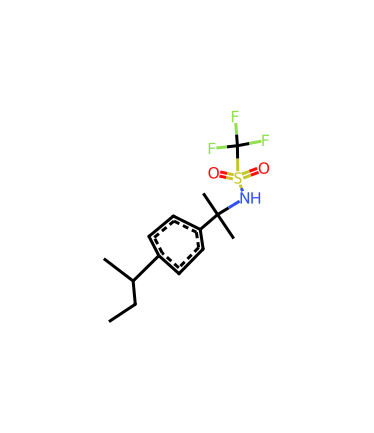 CCC(C)c1ccc(C(C)(C)NS(=O)(=O)C(F)(F)F)cc1